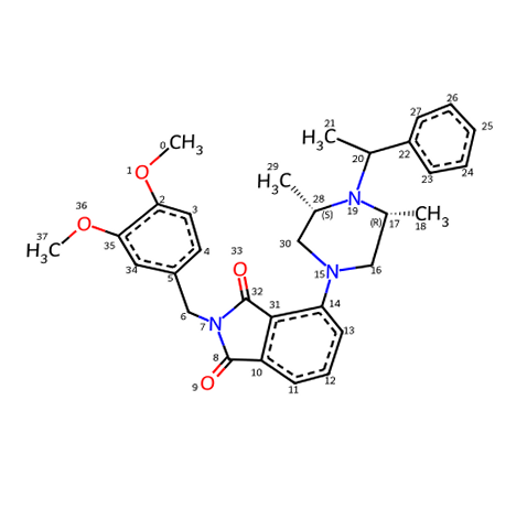 COc1ccc(CN2C(=O)c3cccc(N4C[C@@H](C)N(C(C)c5ccccc5)[C@@H](C)C4)c3C2=O)cc1OC